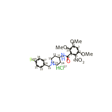 COc1cc(OC)c([N+](=O)[O-])c(C(=O)NC2CCN(Cc3ccc(F)cc3)CC2)c1OC.Cl